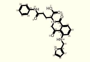 O=C(CCC(C(=O)O)N1CC(=O)c2c(NCc3ccco3)cccc2C1=O)Nc1ccccc1